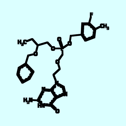 CCC(COP(=O)(COCCn1cnc2c(=O)[nH]c(N)nc21)OCc1ccc(C)c(F)c1)OCc1ccccc1